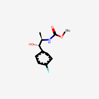 C[C@@H](NC(=O)OC(C)(C)C)[C@@H](O)c1ccc(F)cc1